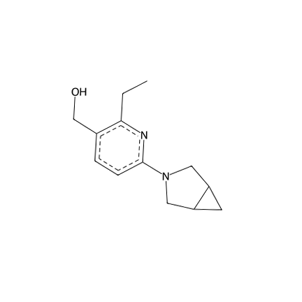 CCc1nc(N2CC3CC3C2)ccc1CO